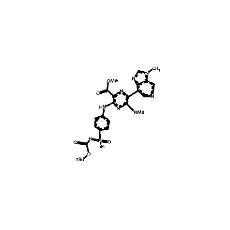 CNc1nc(Nc2ccc(S(=O)(=NC(=O)OC(C)(C)C)C(C)C)cc2)c(C(=O)OC)nc1-c1cncc2c1ncn2C